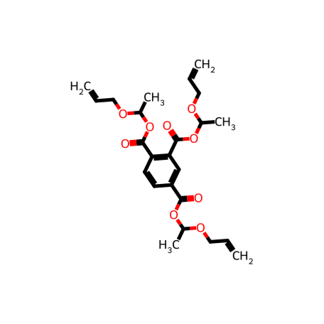 C=CCOC(C)OC(=O)c1ccc(C(=O)OC(C)OCC=C)c(C(=O)OC(C)OCC=C)c1